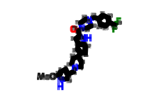 COC1=CC=C(CN2CCC(c3ccc4[nH]c(C(=O)N5CCN(Cc6ccc(C(F)F)cc6)CC5)cc4c3)CC2)CN1